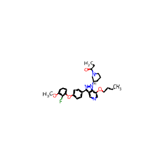 C=CC(=O)N1CCC[C@@H](n2nc(-c3ccc(Oc4cccc(OC)c4F)cc3)c3cncc(OCCCC)c32)C1